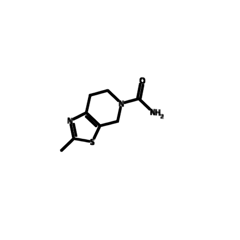 Cc1nc2c(s1)CN(C(N)=O)CC2